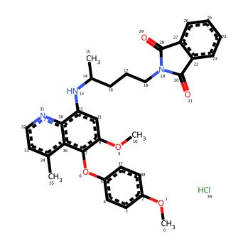 COc1ccc(Oc2c(OC)cc(NC(C)CCCN3C(=O)c4ccccc4C3=O)c3nccc(C)c23)cc1.Cl